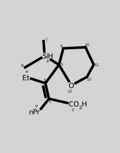 CCCC(C(=O)O)=C(CC)C1([SiH](C)C)CCCCO1